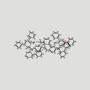 C[Si]1(C)c2cc(N(c3ccccc3-c3ccccc3)c3cc(-c4ccccc4)cc(-c4ccccc4)c3F)ccc2-c2cc3ccc(N(c4ccccc4-c4ccccc4)c4cc(-c5ccccc5)cc(-c5ccccc5)c4F)cc3c3cccc1c23